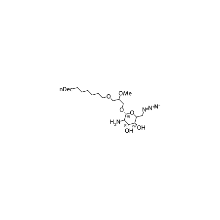 CCCCCCCCCCCCCCCCOCC(CO[C@@H]1OC(CN=[N+]=[N-])[C@@H](O)[C@H](O)C1N)OC